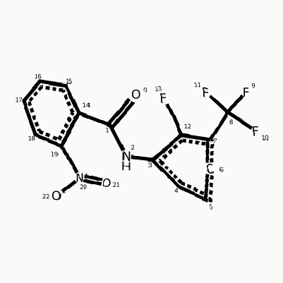 O=C(Nc1cccc(C(F)(F)F)c1F)c1ccccc1[N+](=O)[O-]